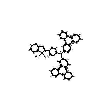 CC1(C)C(c2ccc(N(c3ccc4c5ccccc5c5ccccc5c4c3)c3ccc4c5ccccc5c5ccccc5c4c3)cc2)=Cc2ccccc21